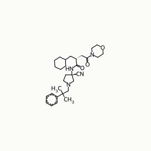 CC(C)(CN1CC[C@](C#N)(NC(=O)[C@@H](CC(=O)N2CCOCC2)CC2CCCCC2)C1)c1ccccc1